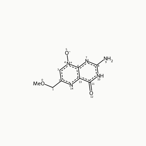 COCc1c[n+]([O-])c2nc(N)[nH]c(=O)c2n1